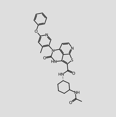 CC(=O)NC1CCC[C@H](NC(=O)c2sc3nccc4c3c2NC(=O)N4c2cnc(Oc3ccccc3)cc2C)C1